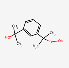 CC(C)(O)c1cccc(C(C)(C)OO)c1